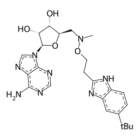 CN(C[C@H]1O[C@@H](n2cnc3c(N)ncnc32)[C@H](O)[C@@H]1O)OCCc1nc2cc(C(C)(C)C)ccc2[nH]1